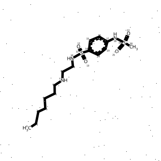 CCCCCCCNCCNS(=O)(=O)c1ccc(NS(C)(=O)=O)cc1